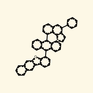 c1ccc(-c2cc3cccc(-c4c5ccccc5c(-c5cccc6c5oc5cc7ccccc7cc56)c5ccccc45)c3c3occc23)cc1